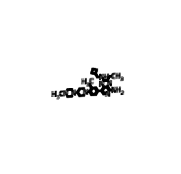 CCc1cc(-c2cnc(N)c3nc(CC)c(NCC4CCC4)nc23)ccc1N1CCC(N2CCN(C)CC2)CC1